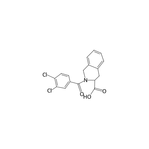 O=C(O)C1Cc2ccccc2CN1C(=O)c1ccc(Cl)c(Cl)c1